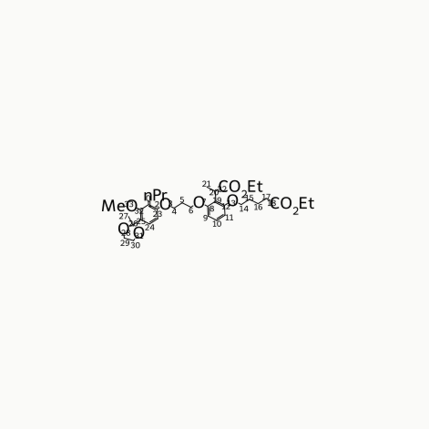 CCCc1c(OCCCOc2cccc(OCCCCC(=O)OCC)c2C(C)C(=O)OCC)ccc(C2(C)OCCO2)c1OC